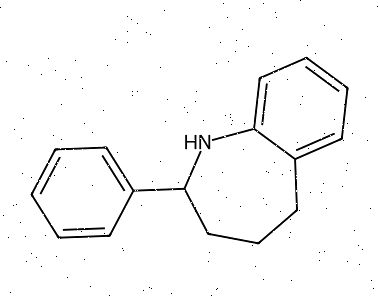 c1ccc(C2CCCc3ccccc3N2)cc1